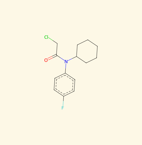 O=C(CCl)N(c1ccc(F)cc1)C1CCCCC1